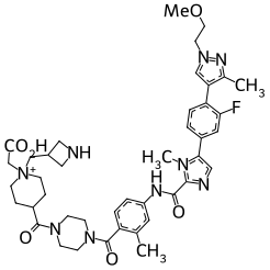 COCCn1cc(-c2ccc(-c3cnc(C(=O)Nc4ccc(C(=O)N5CCN(C(=O)C6CC[N+](CC(=O)O)(CC7CNC7)CC6)CC5)c(C)c4)n3C)cc2F)c(C)n1